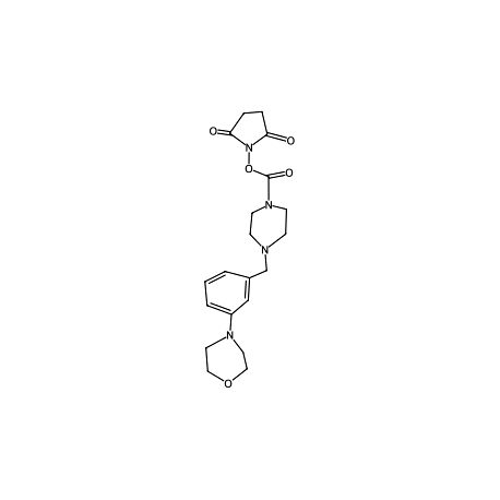 O=C(ON1C(=O)CCC1=O)N1CCN(Cc2cccc(N3CCOCC3)c2)CC1